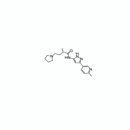 Cc1ccc(-c2cc(NC(=O)C(C)CCN3CCCC3)[nH]n2)cn1